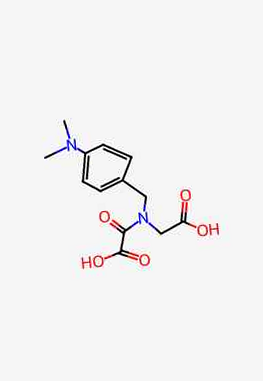 CN(C)c1ccc(CN(CC(=O)O)C(=O)C(=O)O)cc1